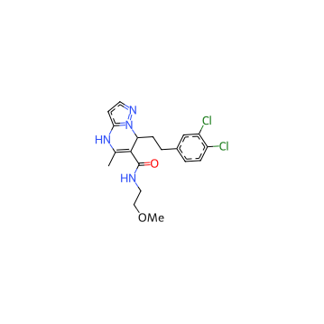 COCCNC(=O)C1=C(C)Nc2ccnn2C1CCc1ccc(Cl)c(Cl)c1